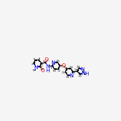 Cn1cccc(C(=O)Nc2ccc(Oc3ccnc(-c4cn[nH]c4)c3)cn2)c1=O